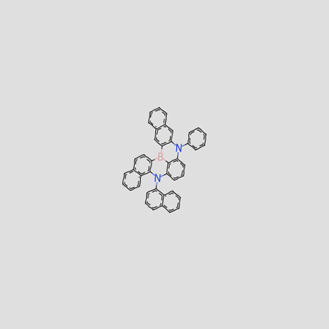 c1ccc(N2c3cc4ccccc4cc3B3c4ccc5ccccc5c4N(c4cccc5ccccc45)c4cccc2c43)cc1